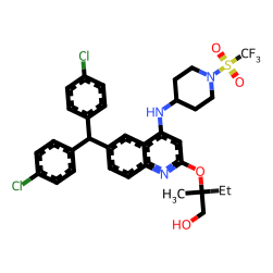 CCC(C)(CO)Oc1cc(NC2CCN(S(=O)(=O)C(F)(F)F)CC2)c2cc(C(c3ccc(Cl)cc3)c3ccc(Cl)cc3)ccc2n1